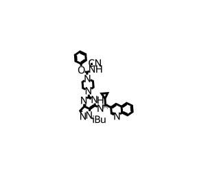 CCC(C)n1ncc2nc(N3CCN(C(NC#N)Oc4ccccc4)CC3)nc(N[C@@H](c3cnc4ccccc4c3)C3CC3)c21